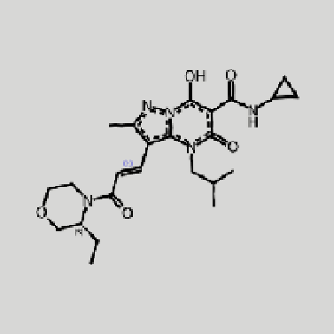 CC[C@H]1COCCN1C(=O)/C=C/c1c(C)nn2c(O)c(C(=O)NC3CC3)c(=O)n(CC(C)C)c12